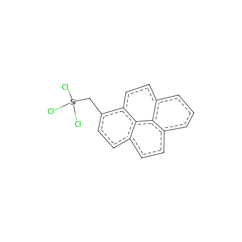 Cl[Si](Cl)(Cl)Cc1ccc2ccc3cccc4ccc1c2c34